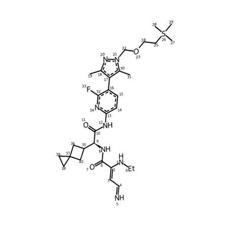 CCN/C(=C\C=N)C(=O)N[C@H](C(=O)Nc1ccc(-c2c(C)nn(COCCS(C)(C)C)c2C)c(F)n1)C1CC2(CC2)C1